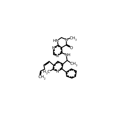 C=CC/C=C\c1cc(C(C)Nc2ncnc3c2C(=O)N(C)CN3)c(-c2ccccc2)nc1C